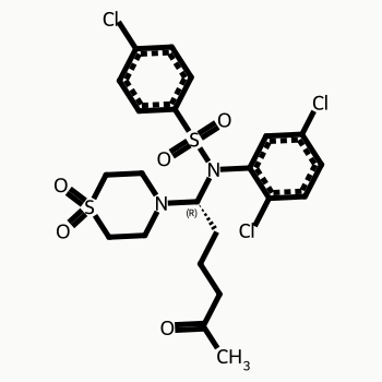 CC(=O)CCC[C@H](N1CCS(=O)(=O)CC1)N(c1cc(Cl)ccc1Cl)S(=O)(=O)c1ccc(Cl)cc1